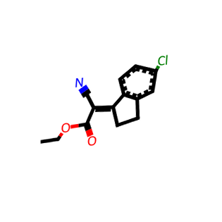 CCOC(=O)/C(C#N)=C1\CCc2cc(Cl)ccc21